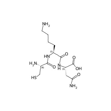 NCCCC[C@H](NC(=O)[C@@H](N)CS)C(=O)N[C@@H](CC(N)=O)C(=O)O